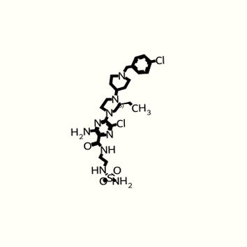 CC[C@H]1CN(c2nc(N)c(C(=O)NCCNS(N)(=O)=O)nc2Cl)CCN1C1CCN(Cc2ccc(Cl)cc2)CC1